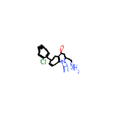 NCc1cc(=O)c2cc(-c3ccccc3Cl)ccc2[nH]1